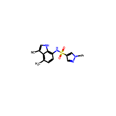 CCCn1cc(S(=O)(=O)Nc2ccc(C)c3c(C#N)c[nH]c23)cn1